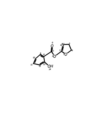 O=C(OC1=NCCO1)c1ccccc1O